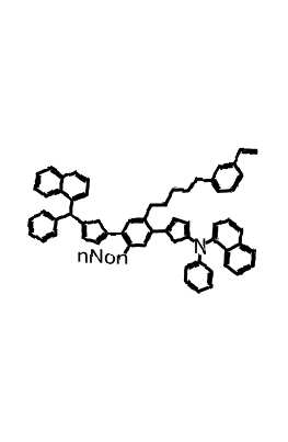 C=Cc1cccc(CCCCCc2cc(C3=CC=C(C(c4ccccc4)c4cccc5ccccc45)C3)c(CCCCCCCCC)cc2C2=CC=C(N(c3ccccc3)c3cccc4ccccc34)C2)c1